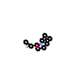 c1ccc(-c2ccccc2N(c2ccc(-c3ccc4sc5ccccc5c4c3)cc2)c2ccc3c(c2)C2(c4ccccc4-c4ccccc42)c2ccccc2-3)cc1